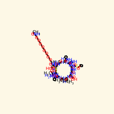 CC(=O)NCCOCCOCCOCCOCCOCCOCCOCCOCCC(=O)N[C@@H](CC(=O)O)C(=O)N[C@H]1CSSC[C@@H](C(=O)N[C@H](C(N)=O)C(C)O)NC(=O)[C@H](Cc2c[nH]c3ccccc23)NC(=O)C(C(C)C)NC(=O)[C@H](CC(C)C)NC(=O)[C@H](CCC(=O)O)NC(=O)CNC(=O)[C@H](CNC(=O)CSC(=O)C2CC3C=CC2C3)NC(=O)[C@H](Cc2c[nH]cn2)NC(=O)[C@H](Cc2c[nH]c3ccccc23)NC(=O)[C@H](C)NC1=O